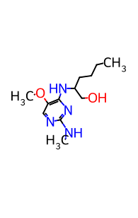 CCCCC(CO)Nc1nc(NC)ncc1OC